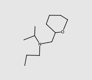 CCCN(CC1CCCCO1)C(C)C